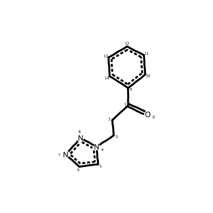 O=C(CCn1ccnn1)c1ccccc1